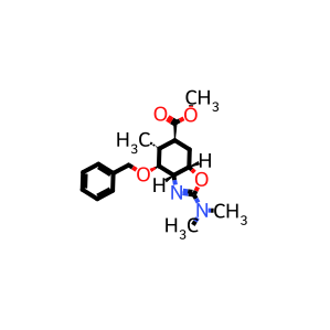 COC(=O)[C@H]1C[C@@H]2OC(N(C)C)=N[C@@H]2[C@@H](OCc2ccccc2)[C@@H]1C